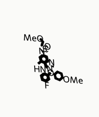 COCCS(C)(=O)=Nc1cc(C)c2c(Nc3ccc(F)cc3O[C@H]3CC[C@H](OC)CC3)ncnc2c1